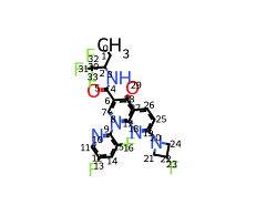 CCC(NC(=O)c1cn(-c2ncc(F)cc2F)c2nc(N3CC(F)C3)ccc2c1=O)C(F)(F)F